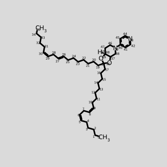 CCCCC/C=C\C/C=C\CCCCCCCCC1(CCCCCCC/C=C/C/C=C\CCCCC)OC2CN(c3ccncc3)CC[C@H]2O1